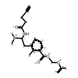 C#CCCC(=O)NC(Cc1cccc(C(=O)OCOC(=C)C)c1C)B(C)C